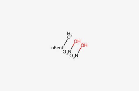 CCCCCC.O=[N+]([O-])O.O=[N+]([O-])O